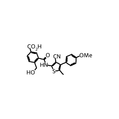 COc1ccc(-c2c(C)sc(NC(=O)c3cc(C(=O)O)ccc3CO)c2C#N)cc1